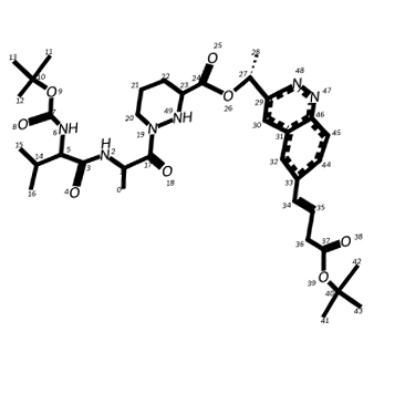 CC(NC(=O)C(NC(=O)OC(C)(C)C)C(C)C)C(=O)N1CCCC(C(=O)O[C@H](C)c2cc3cc(/C=C/CC(=O)OC(C)(C)C)ccc3nn2)N1